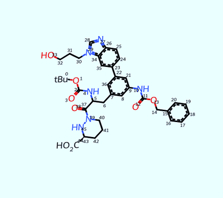 CC(C)(C)OC(=O)NC(Cc1cc(NC(=O)OCc2ccccc2)cc(-c2ccc3ncn(CCCO)c3c2)c1)C(=O)N1CCC[C@@H](C(=O)O)N1